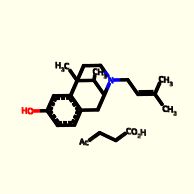 CC(=O)CCC(=O)O.CC(C)=CCN1CCC2(C)c3cc(O)ccc3CC1C2C